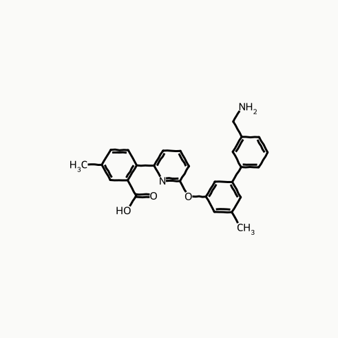 Cc1cc(Oc2cccc(-c3ccc(C)cc3C(=O)O)n2)cc(-c2cccc(CN)c2)c1